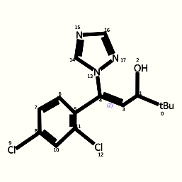 CC(C)(C)C(O)/C=C(/c1ccc(Cl)cc1Cl)n1cncn1